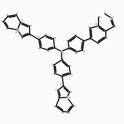 C/N=C\c1ccc(-c2ccc(N(c3ccc(-c4cc5ccccn5c4)cc3)c3ccc(-c4cc5ccccn5c4)cc3)cc2)cc1C